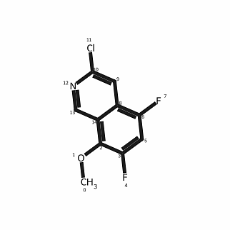 COc1c(F)cc(F)c2cc(Cl)ncc12